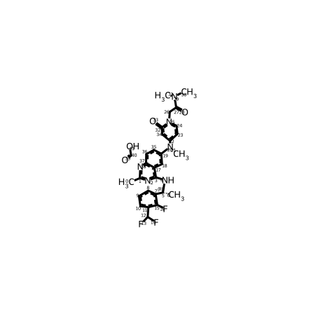 Cc1nc(N[C@H](C)c2cccc(C(F)F)c2F)c2cc(N(C)c3ccn(CC(=O)N(C)C)c(=O)c3)ccc2n1.O=CO